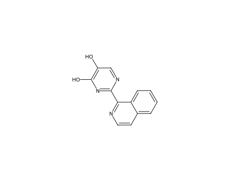 Oc1cnc(-c2nccc3ccccc23)nc1O